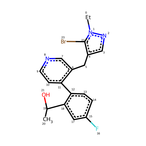 CCn1ncc(Cc2cnccc2-c2ccc(F)cc2C(C)O)c1Br